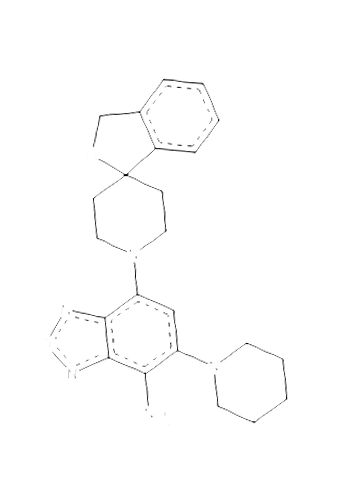 O=[N+]([O-])c1c(N2CCCCC2)cc(N2CCC3(CC2)OCc2ccccc23)c2nonc12